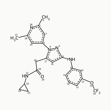 Cc1cc(-n2nc(Nc3cccc(OC(F)(F)F)c3)cc2CC(=O)NC2CC2)cc(C)n1